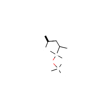 C=C(C)CC(CC)[Si](C)(C)O[Si](C)(C)C